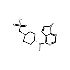 Cn1ccc2c(N(C)[C@H]3CC[C@H](CS(=O)(=O)O)CC3)ncnc21